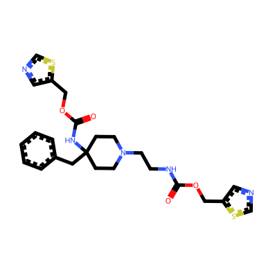 O=C(NCCN1CCC(Cc2ccccc2)(NC(=O)OCc2cncs2)CC1)OCc1cncs1